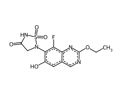 CCOc1ncc2cc(O)c(N3CC(=O)NS3(=O)=O)c(F)c2n1